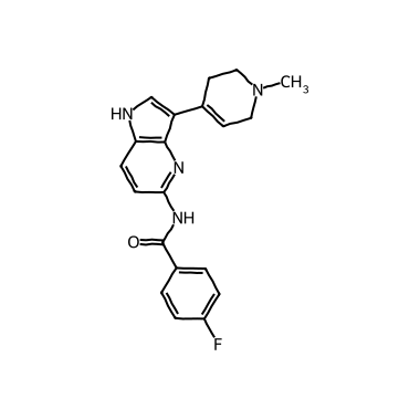 CN1CC=C(c2c[nH]c3ccc(NC(=O)c4ccc(F)cc4)nc23)CC1